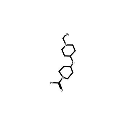 CC(C)CN1CCC(OC2CCN(C(=O)C(C)C)CC2)CC1